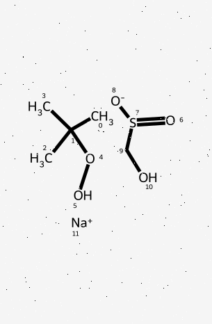 CC(C)(C)OO.O=S([O-])CO.[Na+]